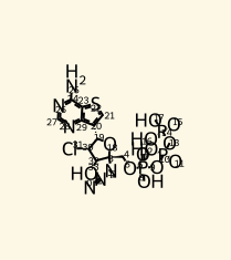 [N-]=[N+]=N[C@@]1(COP(=O)(O)OP(=O)(O)OP(=O)(O)O)O[C@@H](c2csc3c(N)ncnc23)[C@H](Cl)[C@@H]1O